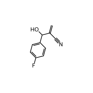 C=C(C#N)C(O)c1ccc(F)cc1